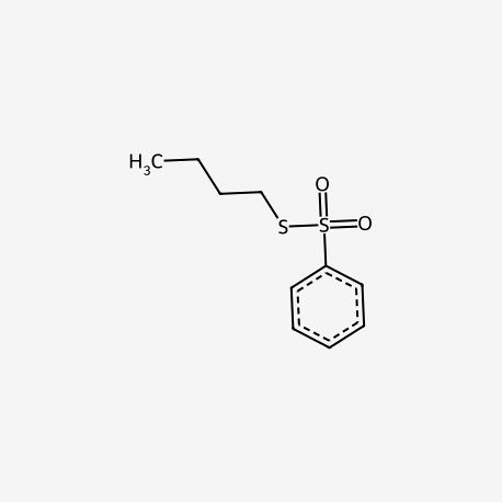 CCCCSS(=O)(=O)c1ccccc1